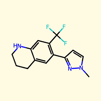 Cn1ccc(-c2cc3c(cc2C(F)(F)F)NCCC3)n1